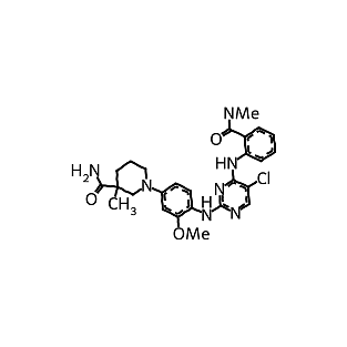 CNC(=O)c1ccccc1Nc1nc(Nc2ccc(N3CCCC(C)(C(N)=O)C3)cc2OC)ncc1Cl